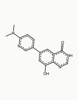 CN(C)c1ccc(-c2cc(O)c3nc[nH]c(=O)c3c2)cn1